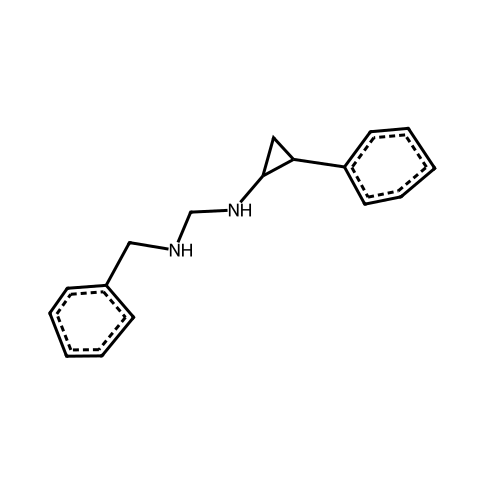 c1ccc(CNCNC2CC2c2ccccc2)cc1